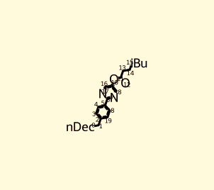 CCCCCCCCCCCc1ccc(-c2ncc(OC(=O)CCC(C)CC)cn2)cc1